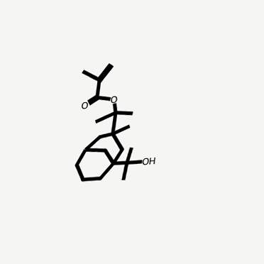 C=C(C)C(=O)OC(C)(C)C1(C)CC2CCCC(C(C)(C)O)(C2)C1